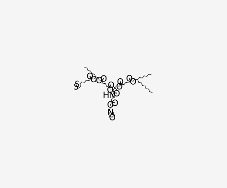 CCCCCCCCC(CCCCCC)COC(=O)CCCC(=O)OCC(C)(C)[C@@H](OC(=O)CCCC(=O)OCC(CCCCCC)OC(=O)CCCCC1CCSS1)C(=O)NCCC(=O)OCCN1CCOCC1